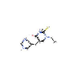 CC(C)Cn1cc(Cc2cncnc2)c(=O)[nH]c1=S